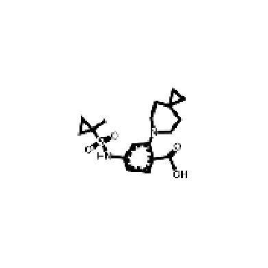 CC1(S(=O)(=O)Nc2ccc(C(=O)O)c(N3CCC4(CC3)CC4)c2)CC1